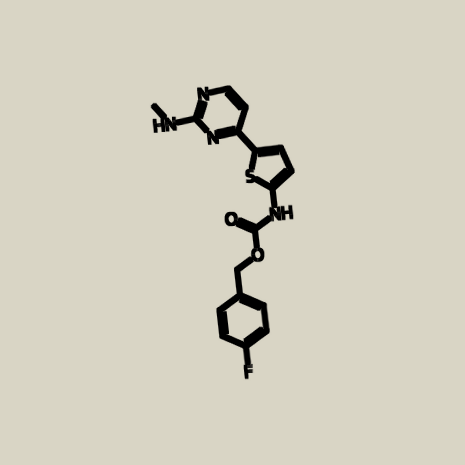 CNc1nccc(-c2ccc(NC(=O)OCc3ccc(F)cc3)s2)n1